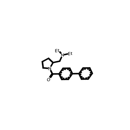 CCN(CC)CC1CCCN1C(=O)c1ccc(-c2ccccc2)cc1